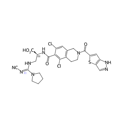 N#C/N=C(\NC[C@H](NC(=O)c1c(Cl)cc2c(c1Cl)CCN(C(=O)c1cc3[nH]ncc3s1)C2)C(=O)O)N1CCCC1